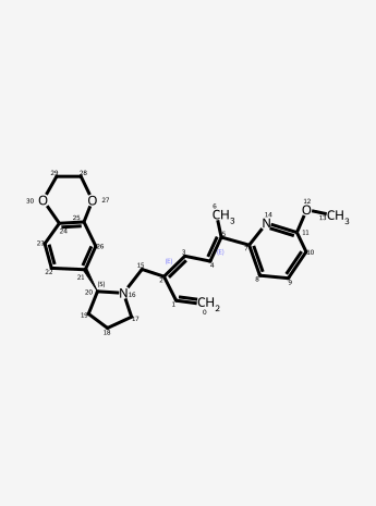 C=C/C(=C\C=C(/C)c1cccc(OC)n1)CN1CCC[C@H]1c1ccc2c(c1)OCCO2